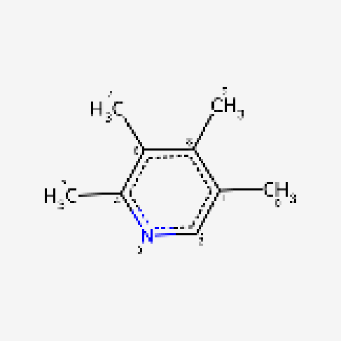 Cc1[c]nc(C)c(C)c1C